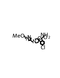 COCCn1cc(CN2CCC3(CC2)OC(C(N)=O)c2ccc(Cl)cc23)cn1